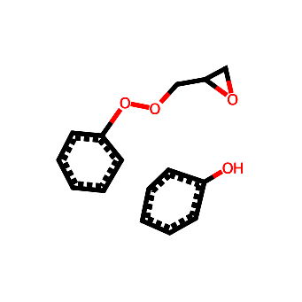 Oc1ccccc1.c1ccc(OOCC2CO2)cc1